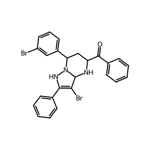 O=C(c1ccccc1)C1CC(c2cccc(Br)c2)N2NC(c3ccccc3)=C(Br)C2N1